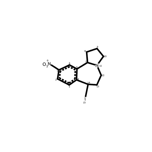 O=[N+]([O-])c1ccc2c(c1)C1CCCN1CCC2I